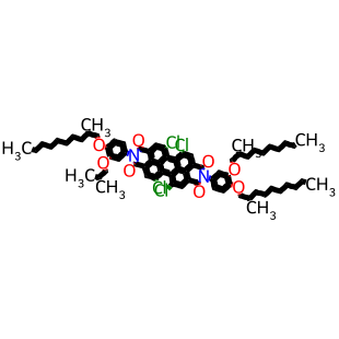 CCCCCCCCC(C)COc1ccc(N2C(=O)c3cc(Cl)c4c5c(Cl)cc6c7c(cc(Cl)c(c8c(Cl)cc(c3c48)C2=O)c75)C(=O)N(c2ccc(OCC(C)CCCCCCCC)c(OCC(C)CCCCCCCC)c2)C6=O)cc1OCC(C)C